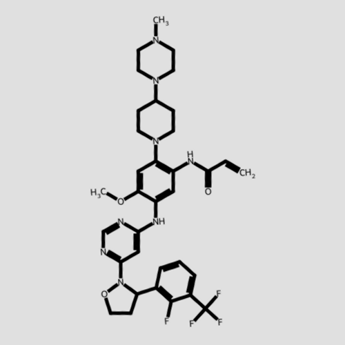 C=CC(=O)Nc1cc(Nc2cc(N3OCCC3c3cccc(C(F)(F)F)c3F)ncn2)c(OC)cc1N1CCC(N2CCN(C)CC2)CC1